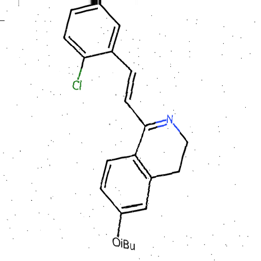 CC(C)COc1ccc2c(c1)CCN=C2C=Cc1ccccc1Cl